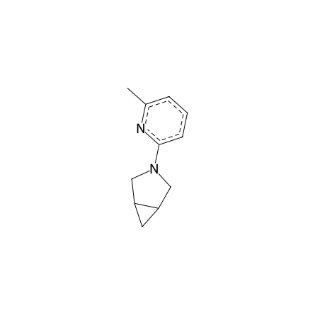 Cc1cccc(N2CC3CC3C2)n1